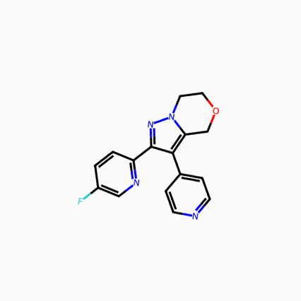 Fc1ccc(-c2nn3c(c2-c2ccncc2)COCC3)nc1